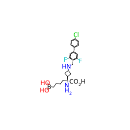 N[C@](CCCCB(O)O)(C(=O)O)C1CC(NCc2c(F)cc(-c3ccc(Cl)cc3)cc2F)C1